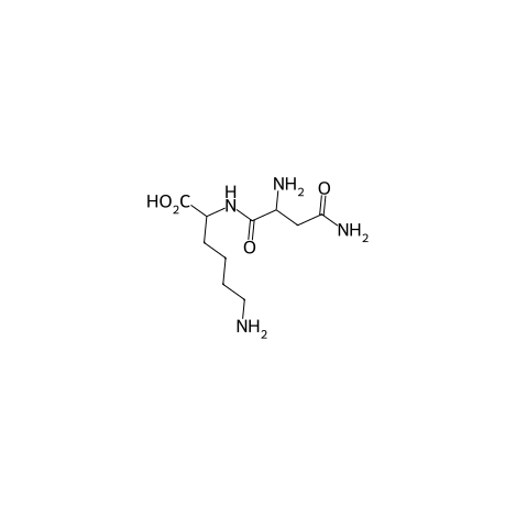 NCCCCC(NC(=O)C(N)CC(N)=O)C(=O)O